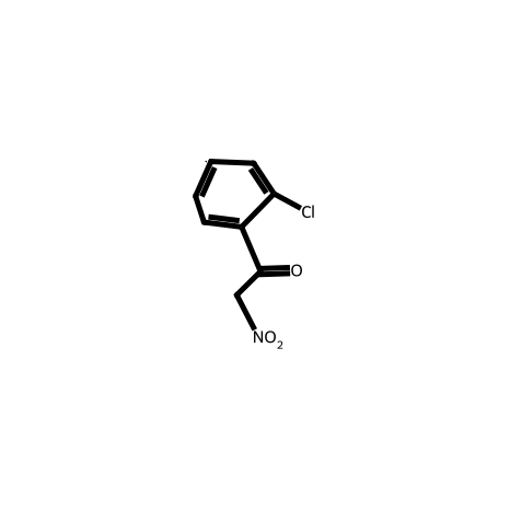 O=C(C[N+](=O)[O-])c1cc[c]cc1Cl